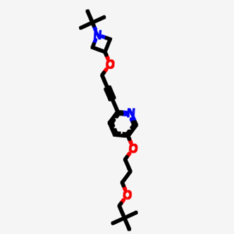 CC(C)(C)COCCCOc1ccc(C#CCOC2CN(C(C)(C)C)C2)nc1